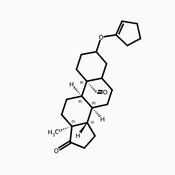 C[C@]12CC[C@@H]3[C@@H](CCC4CC(OC5=CCCC5)CC[C@@]43C=O)[C@@H]1CCC2=O